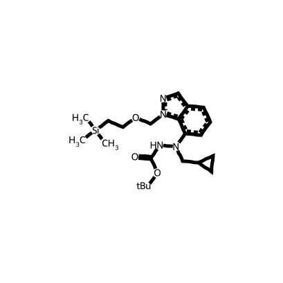 CC(C)(C)OC(=O)NN(CC1CC1)c1cccc2cnn(COCC[Si](C)(C)C)c12